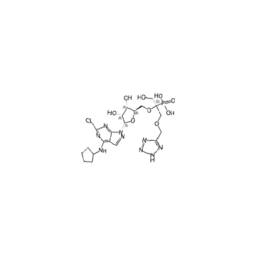 O=P(O)(O)[C@@](CO)(COCc1nn[nH]n1)OC[C@H]1O[C@H](n2ncc3c(NC4CCCC4)nc(Cl)nc32)[C@H](O)[C@@H]1O